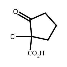 O=C(O)C1(Cl)CCCC1=O